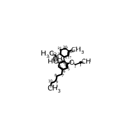 C#CCOc1cc(CCCCC)cc(O)c1[C@@H]1C=C(C)CC[C@H]1C(=C)C